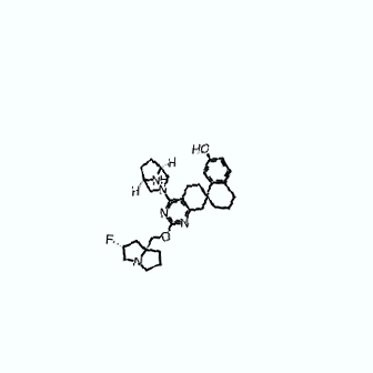 Oc1ccc2c(c1)C1(CCC2)CCc2c(nc(OC[C@@]34CCCN3C[C@H](F)C4)nc2N2C[C@H]3CC[C@@H](C2)N3)C1